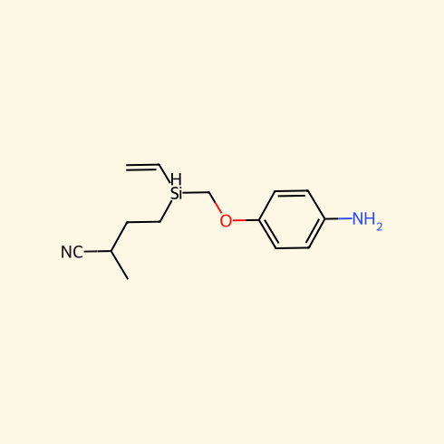 C=C[SiH](CCC(C)C#N)COc1ccc(N)cc1